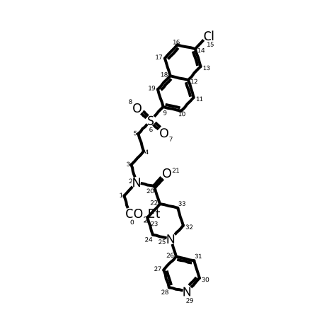 CCOC(=O)CN(CCCS(=O)(=O)c1ccc2cc(Cl)ccc2c1)C(=O)C1CCN(c2ccncc2)CC1